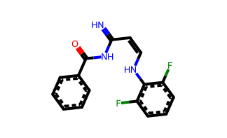 N=C(/C=C\Nc1c(F)cccc1F)NC(=O)c1ccccc1